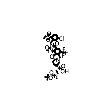 CCS(=O)(=O)c1ccc(Cl)cc1Cn1c(=O)[nH]c2c(Cl)c(CN3CCC[C@H](N(CCN(C)C(=O)OC(C)(C)C)C(=O)O)C3)c(C(F)(F)F)cc2c1=O